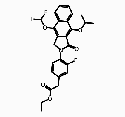 CCOC(=O)Cc1ccc(N2Cc3c(c(OC(C)C)c4ccccc4c3OC(F)F)C2=O)c(F)c1